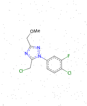 COCc1nc(CCl)n(-c2ccc(Cl)c(F)c2)n1